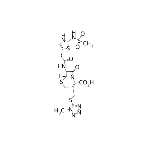 Cn1nnnc1SCC1=C(C(=O)O)N2C(=O)C(NC(=O)CC3=CNC(NS(C)(=O)=O)S3)[C@H]2SC1